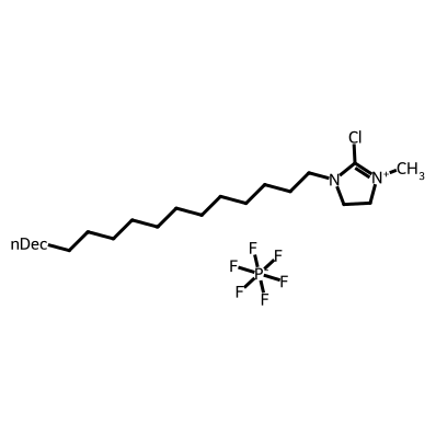 CCCCCCCCCCCCCCCCCCCCCCN1CC[N+](C)=C1Cl.F[P-](F)(F)(F)(F)F